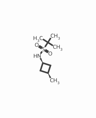 CC(C)(C)S(=O)(=O)N[C@H]1C[C@@H](C)C1